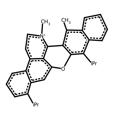 Cc1c2c(c(C(C)C)c3ccccc13)Oc1cc3c(C(C)C)cccc3c3cc[n+](C)c-2c13